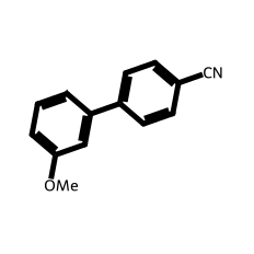 COc1cc[c]c(-c2ccc(C#N)cc2)c1